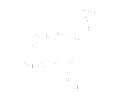 COc1ccccc1-c1nccc(COc2ccc3cc2C[C@H](C(=O)O)Oc2ncnc4sc(-c5cnn(C)c5)c(c24)-c2c(C)c(Cl)c(c(Cl)c2C)O[C@H](CN2CCN(C)CC2)CO3)n1